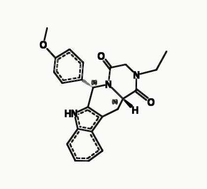 CCN1CC(=O)N2[C@@H](c3ccc(OC)cc3)c3[nH]c4ccccc4c3C[C@H]2C1=O